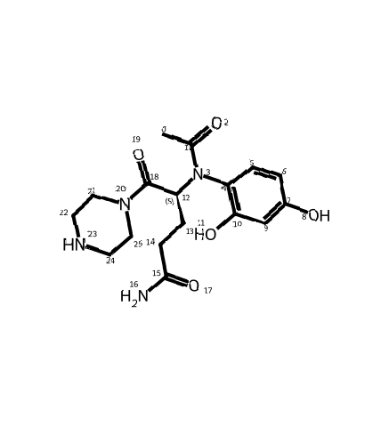 CC(=O)N(c1ccc(O)cc1O)[C@@H](CCC(N)=O)C(=O)N1CCNCC1